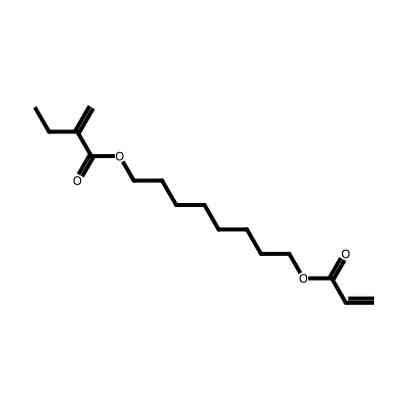 C=CC(=O)OCCCCCCCCOC(=O)C(=C)CC